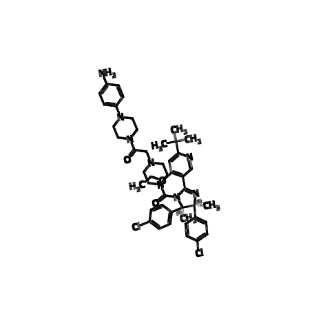 CCOc1cc(C(C)(C)C)ncc1C1=N[C@@](C)(c2ccc(Cl)cc2)[C@@](C)(c2ccc(Cl)cc2)N1C(=O)N1CCN(CC(=O)N2CCN(c3ccc(N)cc3)CC2)CC1